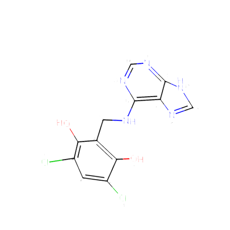 Oc1c(Cl)cc(Cl)c(O)c1CNc1ncnc2[nH]cnc12